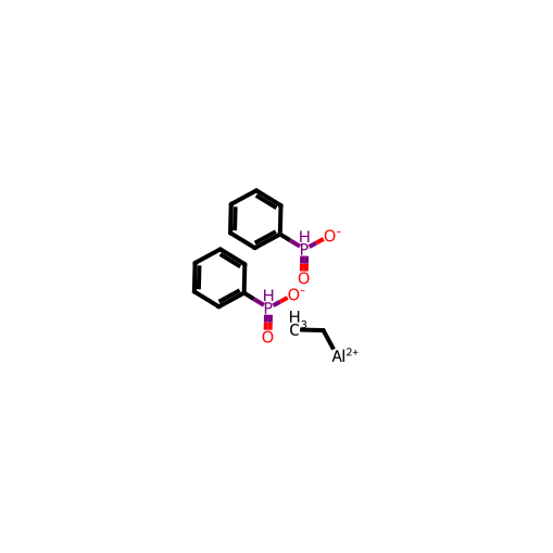 C[CH2][Al+2].O=[PH]([O-])c1ccccc1.O=[PH]([O-])c1ccccc1